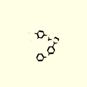 COc1ccc(NC(=O)N2C=CNC2c2ccc(Oc3ccccc3)cc2)cc1OC